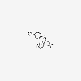 CC(C)(C)CC(Sc1ccc(Cl)cc1)n1ccnc1